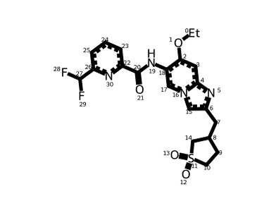 CCOc1cc2nc(CC3CCS(=O)(=O)C3)cn2cc1NC(=O)c1cccc(C(F)F)n1